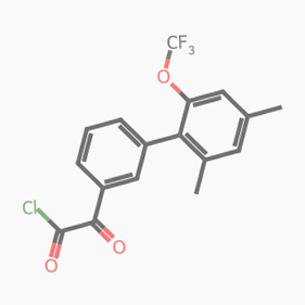 Cc1cc(C)c(-c2cccc(C(=O)C(=O)Cl)c2)c(OC(F)(F)F)c1